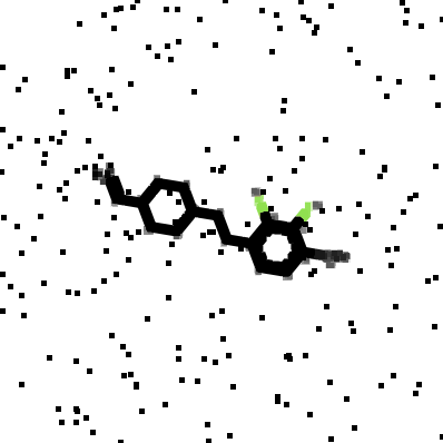 C=CC1CCC(CCc2ccc(OC)c(F)c2F)CC1